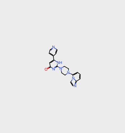 O=c1cc(-c2ccncc2)[nH]c(N2CCN(c3cccc4nccn34)CC2)n1